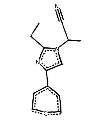 CCc1nc(-c2ccccc2)cn1C(C)C#N